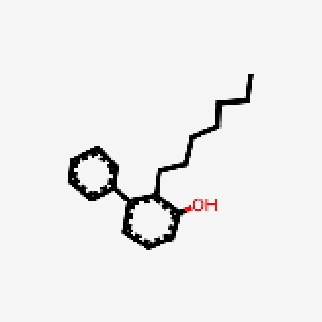 CCCCCCCc1c(O)cccc1-c1ccccc1